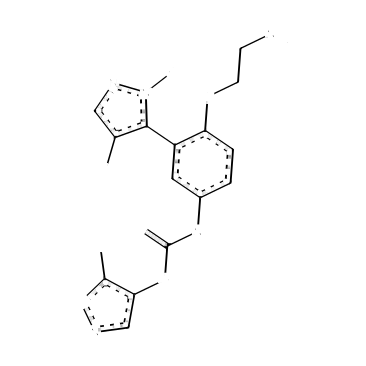 Cc1oncc1OC(=O)Nc1ccc(OCCN)c(-c2c(Cl)cnn2C)c1